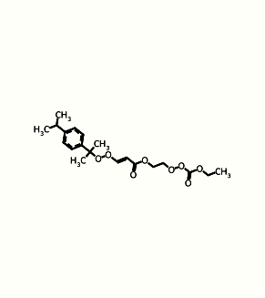 CCOC(=O)OOCCOC(=O)C=COOC(C)(C)c1ccc(C(C)C)cc1